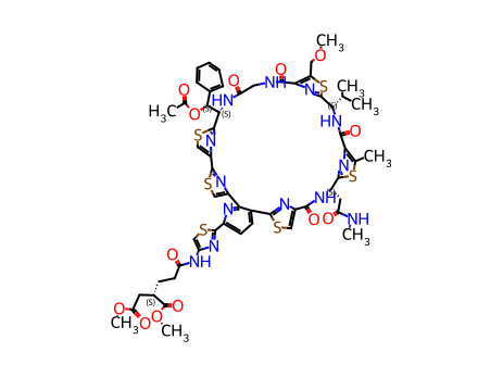 CNC(=O)C[C@@H]1NC(=O)c2csc(n2)-c2ccc(-c3nc(NC(=O)CC[C@@H](CC(=O)OC)C(=O)OC)cs3)nc2-c2csc(n2)-c2csc(n2)[C@H]([C@@H](OC(C)=O)c2ccccc2)NC(=O)CNC(=O)c2nc(sc2COC)[C@H](C(C)C)NC(=O)c2nc1sc2C